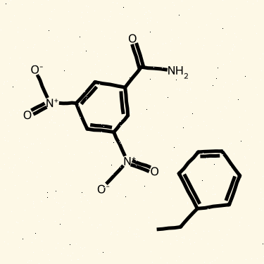 CCc1ccccc1.NC(=O)c1cc([N+](=O)[O-])cc([N+](=O)[O-])c1